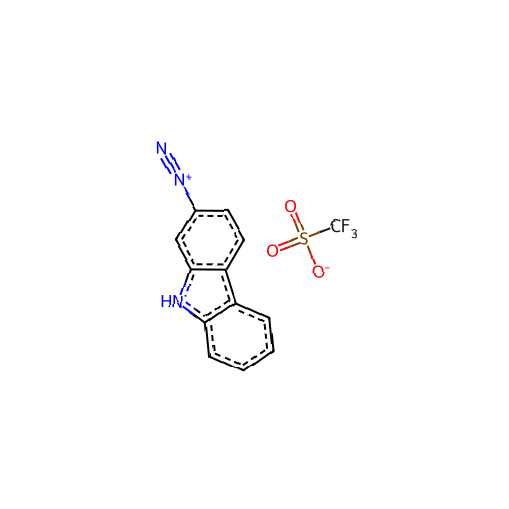 N#[N+]c1ccc2c(c1)[nH]c1ccccc12.O=S(=O)([O-])C(F)(F)F